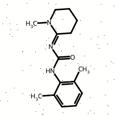 Cc1cccc(C)c1NC(=O)N=C1CCCCN1C